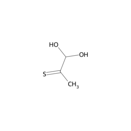 CC(=S)C(O)O